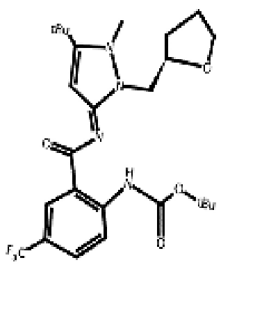 Cn1c(C(C)(C)C)c/c(=N\C(=O)c2cc(C(F)(F)F)ccc2NC(=O)OC(C)(C)C)n1C[C@H]1CCCO1